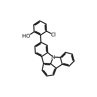 Oc1cccc(Cl)c1-c1ccc2c3cccc4c5ccccc5n(c2c1)c43